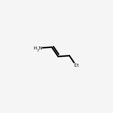 CCC/C=C/N